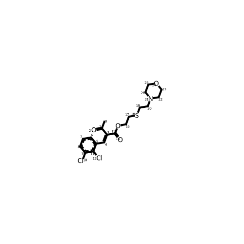 CC(=O)C(=Cc1cccc(Cl)c1Cl)C(=O)OCCSCCN1CCOCC1